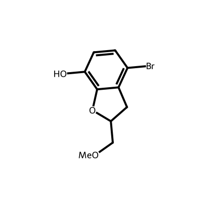 COCC1Cc2c(Br)ccc(O)c2O1